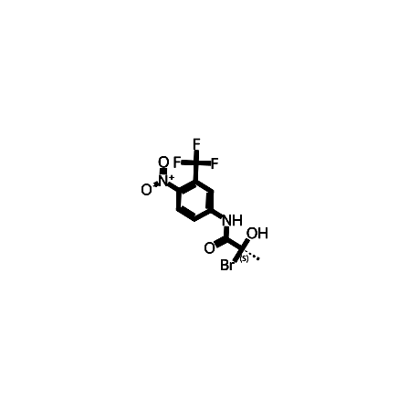 C[C@](O)(Br)C(=O)Nc1ccc([N+](=O)[O-])c(C(F)(F)F)c1